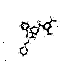 O=C(c1cc(C(F)F)cc(C(F)F)c1)N1CCC2(CC1)C(=O)N(CCN1CCCCC1)CN2c1ccccc1